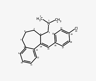 CN(C)CC1CCCc2ccccc2/C1=C/c1ccc(Cl)cc1